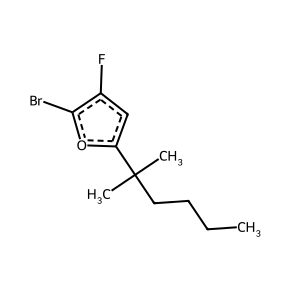 CCCCC(C)(C)c1cc(F)c(Br)o1